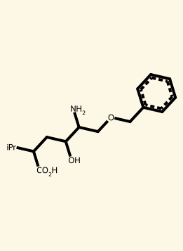 CC(C)C(CC(O)C(N)COCc1ccccc1)C(=O)O